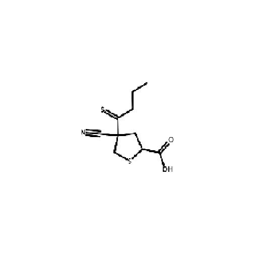 CCCC(=S)C1(C#N)CSC(C(=O)O)C1